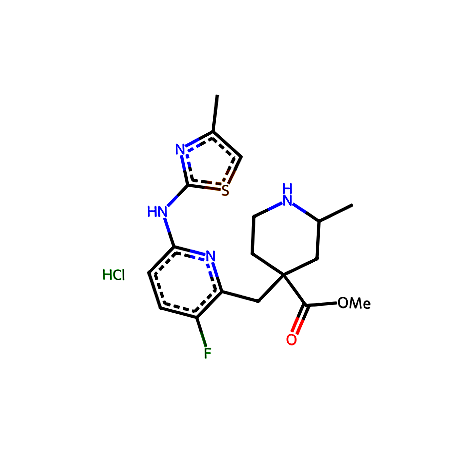 COC(=O)C1(Cc2nc(Nc3nc(C)cs3)ccc2F)CCNC(C)C1.Cl